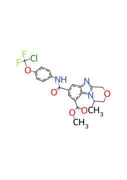 COC(=O)c1cc(C(=O)Nc2ccc(OC(F)(F)Cl)cc2)cc2nc3n(c12)C(C)COC3